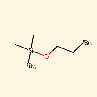 CCC(C)CCO[Si](C)(C)C(C)CC